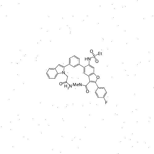 CCS(=O)(=O)Nc1cc2oc(-c3ccc(F)cc3)c(C(=O)NC)c2cc1-c1cccc(-c2cc3ccccc3n2CC(N)=O)c1